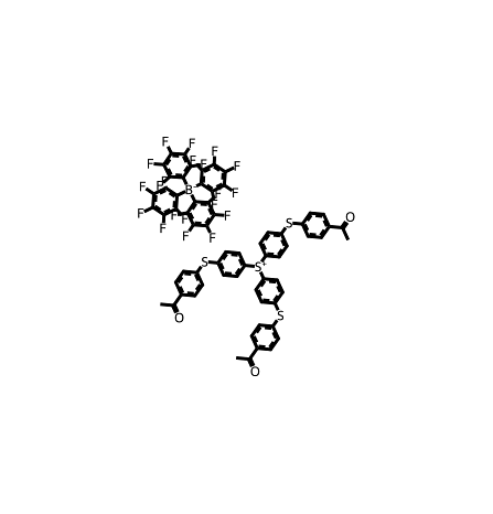 CC(=O)c1ccc(Sc2ccc([S+](c3ccc(Sc4ccc(C(C)=O)cc4)cc3)c3ccc(Sc4ccc(C(C)=O)cc4)cc3)cc2)cc1.Fc1c(F)c(F)c([B-](c2c(F)c(F)c(F)c(F)c2F)(c2c(F)c(F)c(F)c(F)c2F)c2c(F)c(F)c(F)c(F)c2F)c(F)c1F